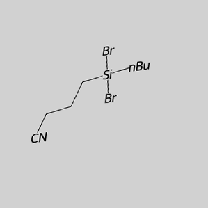 CCCC[Si](Br)(Br)CCCC#N